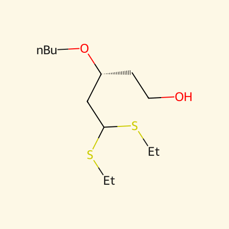 CCCCO[C@H](CCO)CC(SCC)SCC